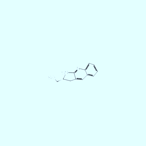 OC[C@@H]1Cc2cc3cc[c]cc3nc2N1